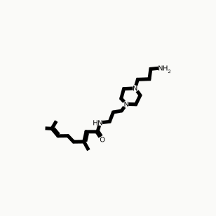 CC(C)=CCC/C(C)=C/C(=O)NCCCN1CCN(CCCN)CC1